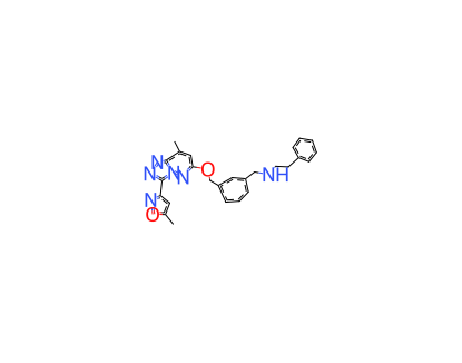 Cc1cc(-c2nnc3c(C)cc(OCc4cccc(CNCCc5ccccc5)c4)nn23)no1